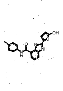 Cc1ccc(NC(=O)c2cccc3[nH]c(-c4ccc(O)o4)nc23)cc1